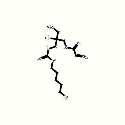 C=CC(=O)OCC(C)(COC)COC(=O)OCCCCCC(C)=O